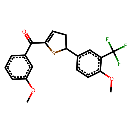 COc1cccc(C(=O)C2=CCC(c3ccc(OC)c(C(F)(F)F)c3)S2)c1